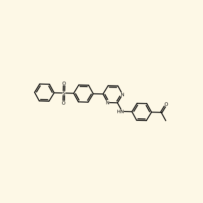 CC(=O)c1ccc(Nc2nccc(-c3ccc(S(=O)(=O)c4ccccc4)cc3)n2)cc1